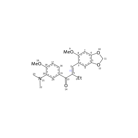 CC/C(=C\c1cc2c(cc1OC)OCO2)C(=O)c1ccc(OC)c(N(C)C)c1